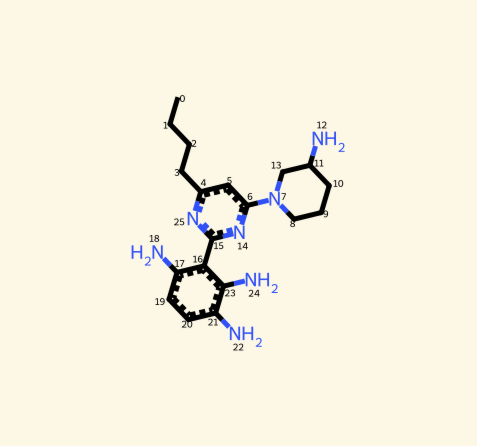 CCCCc1cc(N2CCCC(N)C2)nc(-c2c(N)ccc(N)c2N)n1